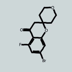 O=C1CC2(CCOCC2)Oc2cc(Br)cc(F)c21